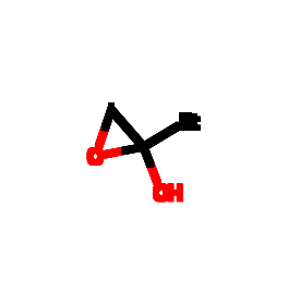 CCC1(O)[CH]O1